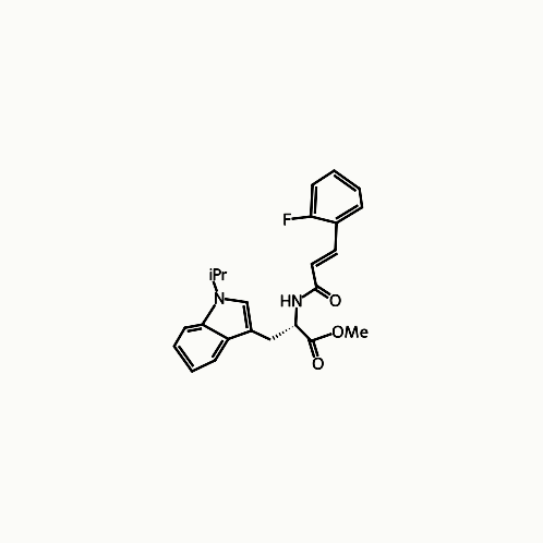 COC(=O)[C@H](Cc1cn(C(C)C)c2ccccc12)NC(=O)/C=C/c1ccccc1F